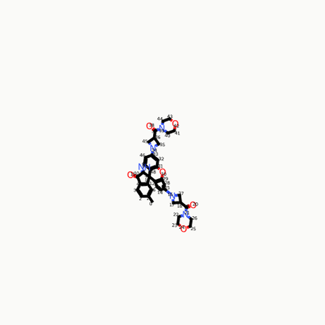 Cc1ccc2c(c1)C1(C(=N)C2=O)c2ccc(N3CC(C(=O)N4CCOCC4)C3)cc2Oc2cc(N3CC(C(=O)N4CCOCC4)C3)ccc21